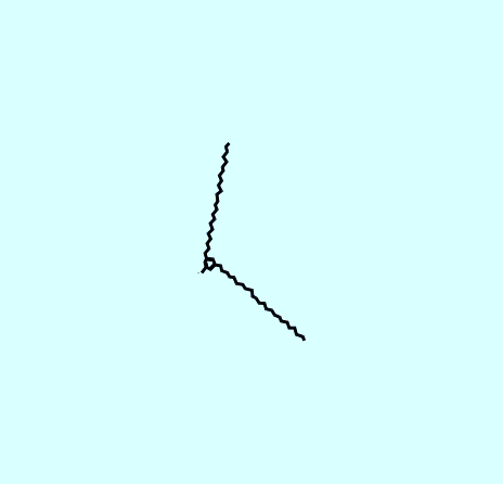 [CH2]c1cc(CCCCCCCCCCCCCCCCCCCCCCCC)cc(CCCCCCCCCCCCCCCCCCCCCCCC)c1